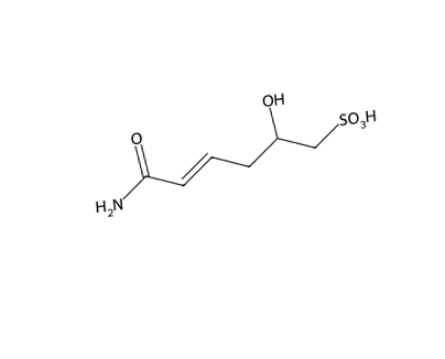 NC(=O)C=CCC(O)CS(=O)(=O)O